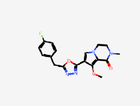 COc1c(-c2nnc(Cc3ccc(F)cc3)o2)cn2c1C(=O)N(C)CC2